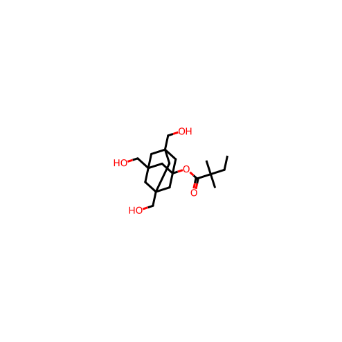 CCC(C)(C)C(=O)OC12CC3(CO)CC(CO)(CC(CO)(C3)C1)C2